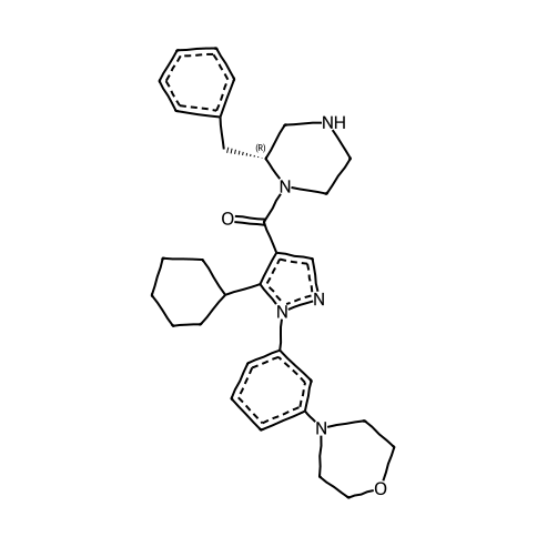 O=C(c1cnn(-c2cccc(N3CCOCC3)c2)c1C1CCCCC1)N1CCNC[C@H]1Cc1ccccc1